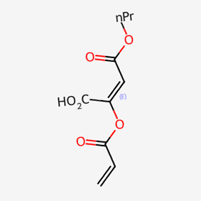 C=CC(=O)O/C(=C/C(=O)OCCC)C(=O)O